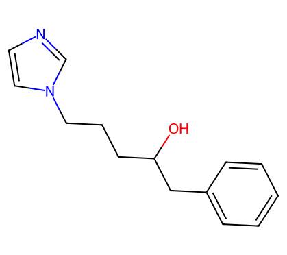 OC(CCCn1ccnc1)Cc1ccccc1